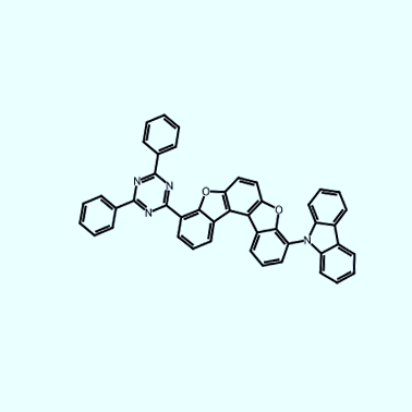 c1ccc(-c2nc(-c3ccccc3)nc(-c3cccc4c3oc3ccc5oc6c(-n7c8ccccc8c8ccccc87)cccc6c5c34)n2)cc1